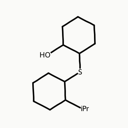 CC(C)C1CCCCC1SC1CCCCC1O